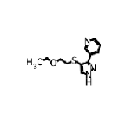 CCOCCSc1c[nH]nc1-c1cccnc1